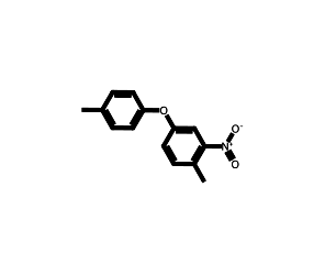 Cc1ccc(Oc2ccc(C)c([N+](=O)[O-])c2)cc1